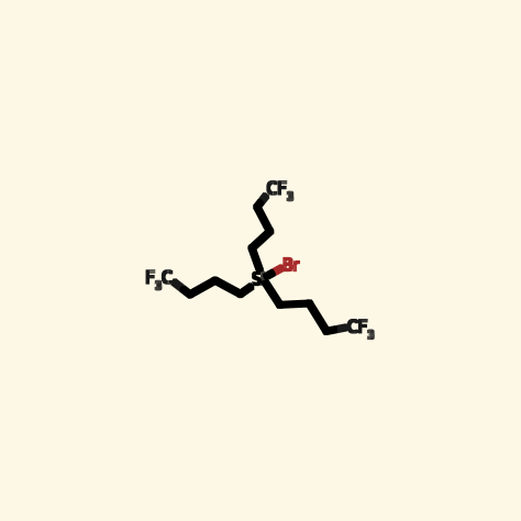 FC(F)(F)CCC[Si](Br)(CCCC(F)(F)F)CCCC(F)(F)F